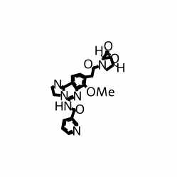 COc1c(CC(=O)N2C[C@H]3C[C@@H]2C(=O)O3)ccc2c1N=C(NC(=O)c1cccnc1)N1CCN=C21